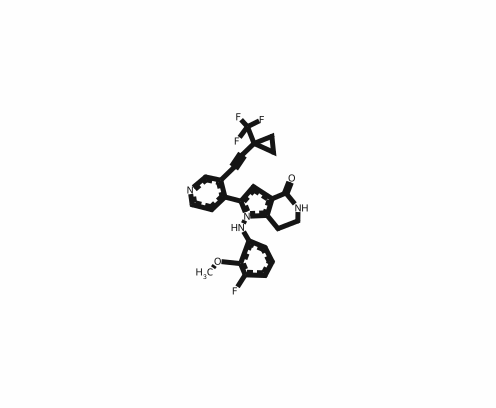 COc1c(F)cccc1Nn1c(-c2ccncc2C#CC2(C(F)(F)F)CC2)cc2c1CCNC2=O